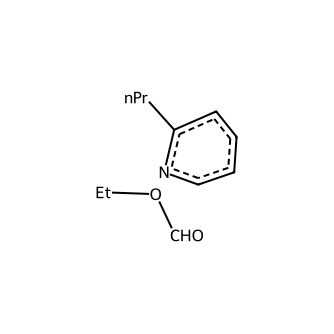 CCCc1ccccn1.CCOC=O